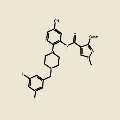 COc1nn(C)cc1C(=O)Nc1cc(C#N)cnc1N1CCN(Cc2cc(F)cc(F)c2)CC1